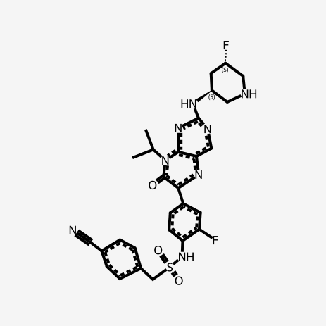 CC(C)n1c(=O)c(-c2ccc(NS(=O)(=O)Cc3ccc(C#N)cc3)c(F)c2)nc2cnc(N[C@@H]3CNC[C@@H](F)C3)nc21